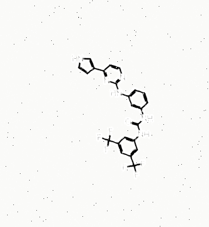 O=C(Nc1cccc(Nc2nccc(-c3cc[nH]c3)n2)c1)Nc1cc(C(F)(F)F)cc(C(F)(F)F)c1